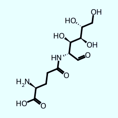 N[C@@H](CCC(=O)N[C@@H](C=O)[C@@H](O)[C@H](O)[C@H](O)CO)C(=O)O